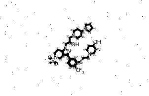 CS(=O)(=O)N1CCc2c(c(-c3ccc(C(F)(F)F)c(SCCN4CCC(O)CC4)c3)nn2CC(O)CN2CCC(N3CCCC3)CC2)C1